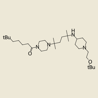 CC(C)(C)CCCCC(=O)N1CCN(C(C)(C)CCC(C)(C)NC2CCN(CCOC(C)(C)C)CC2)CC1